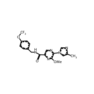 COc1nc(C(=O)NCc2ccc(OC(F)(F)F)cc2)cnc1-n1cnc(C)c1